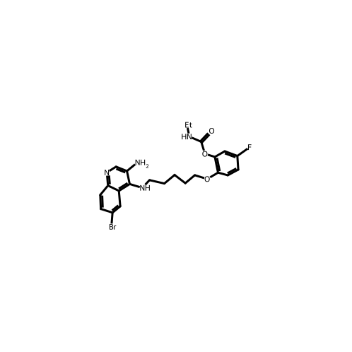 CCNC(=O)Oc1cc(F)ccc1OCCCCCNc1c(N)cnc2ccc(Br)cc12